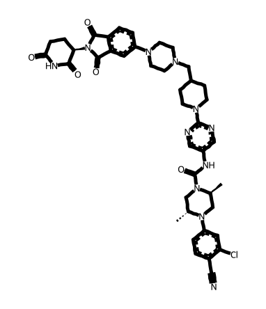 C[C@@H]1CN(C(=O)Nc2cnc(N3CCC(CN4CCN(c5ccc6c(c5)C(=O)N([C@@H]5CCC(=O)NC5=O)C6=O)CC4)CC3)nc2)[C@@H](C)CN1c1ccc(C#N)c(Cl)c1